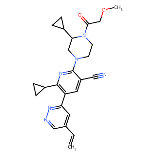 C=Cc1cnnc(-c2cc(C#N)c(N3CCN(C(=O)COC)C(C4CC4)C3)nc2C2CC2)c1